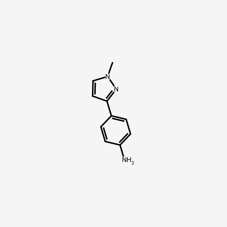 Cn1ccc(-c2ccc(N)cc2)n1